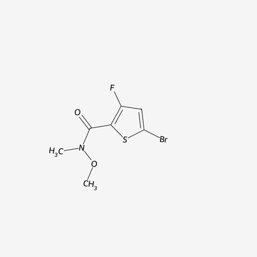 CON(C)C(=O)c1sc(Br)cc1F